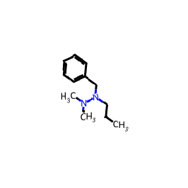 CCCN(Cc1ccccc1)N(C)C